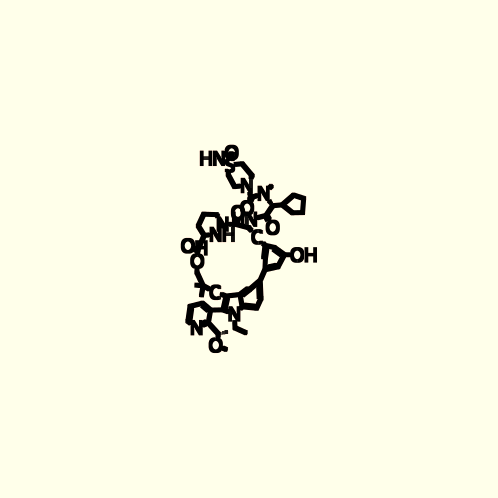 CCn1c(-c2cccnc2[C@H](C)OC)c2c3cc(ccc31)-c1cc(O)cc(c1)C[C@H](NC(=O)[C@H](C1CCCC1)N(C)C(=O)N1CCS(=N)(=O)CC1)C(=O)N1CCC[C@H](N1)C(=O)OCC(C)(C)C2